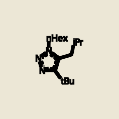 CCCCCCn1nnc(C(C)(C)C)c1CC(C)C